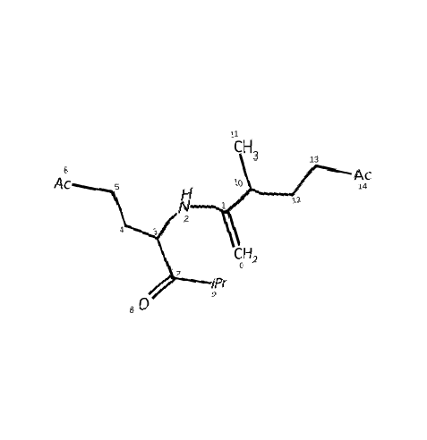 C=C(NC(CCC(C)=O)C(=O)C(C)C)C(C)CCC(C)=O